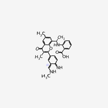 CN/C=C1/C=C(c2oc3c(C(C)Nc4ccccc4C(=O)O)cc(C)cc3c(=O)c2C)C=CC1=N